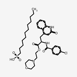 CCCCCCCCCCCCS(=O)(=O)O.O=C(NC(Cc1cc(=O)[nH]c2ccccc12)C(=O)OCCN1CCOCC1)c1ccc(Cl)cc1